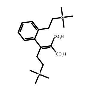 C[Si](C)(C)CCC(=C(C(=O)O)C(=O)O)c1ccccc1CC[Si](C)(C)C